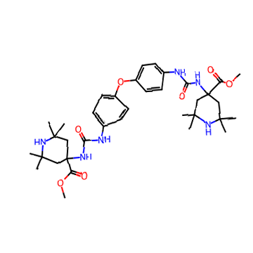 COC(=O)C1(NC(=O)Nc2ccc(Oc3ccc(NC(=O)NC4(C(=O)OC)CC(C)(C)NC(C)(C)C4)cc3)cc2)CC(C)(C)NC(C)(C)C1